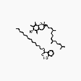 CCCCCCCCCCCCCOC(=O)c1ccccc1O.Cc1c(C)c2c(c(C)c1O)CC[C@@](C)(CCCC(C)CCCC(C)CCCC(C)C)O2